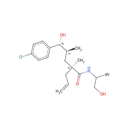 C=CC[C@@](C)(C[C@H](C)[C@@H](O)c1ccc(Cl)cc1)C(=O)NC(CO)C(C)C